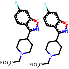 CCOC(=O)CN1CCC(c2noc3cc(F)ccc23)CC1.CCOC(=O)CN1CCC(c2noc3cc(F)ccc23)CC1